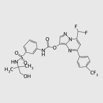 CC(C)(CO)NS(=O)(=O)c1cccc(NC(=O)Oc2cnn3c(C(F)F)cc(-c4ccc(C(F)(F)F)cc4)nc23)c1